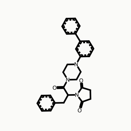 O=C(C(Cc1ccccc1)N1C(=O)CCC1=O)N1CCN(c2cccc(-c3ccccc3)c2)CC1